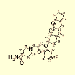 Cc1c(Cc2ccccc2)c(=O)oc2cc(OCC(CN3CCC(C(N)=O)CC3)Oc3ccc(F)cc3)ccc12